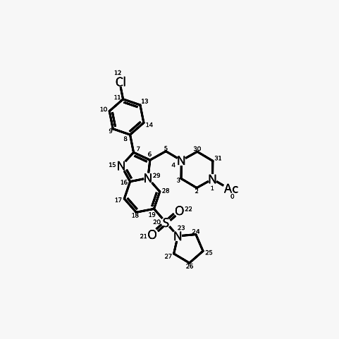 CC(=O)N1CCN(Cc2c(-c3ccc(Cl)cc3)nc3ccc(S(=O)(=O)N4CCCC4)cn23)CC1